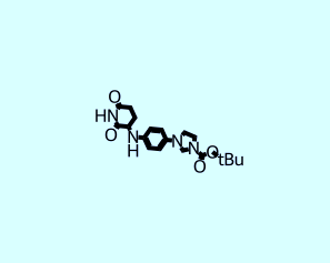 CC(C)(C)OC(=O)N1CCN(c2ccc(NC3CCC(=O)NC3=O)cc2)C1